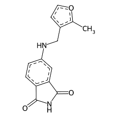 Cc1occc1CNc1ccc2c(c1)C(=O)NC2=O